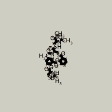 COC(=O)C(CSC(=O)C(CSC(=O)c1ccccc1OC(=O)c1ccccc1OC(=O)C(CS)NC(C)=O)NC(C)=O)NC(C)=O